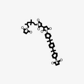 CC(CN1C(=O)C=CC1=O)CC(C)(C)CCN1C(=O)C=C(C2=CC(=O)N(c3ccc(C(C)(C)c4ccc(C(C)(C)c5ccc(N6C(=O)C=CC6=O)cc5)cc4)cc3)C2=O)C1=O